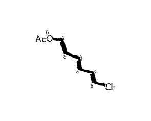 CC(=O)OC=CC=CC=CCl